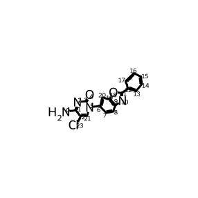 Nc1nc(=O)n(-c2ccc3nc(-c4ccccc4)oc3c2)cc1Cl